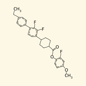 CCc1ccc(-c2ccc(C3CCC(C(=O)Oc4ccc(OC)cc4F)CC3)c(F)c2F)cc1